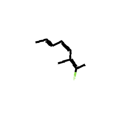 CC=C/C=C\C(C)=C(/C)F